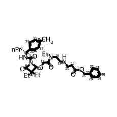 CCC[C@@H](NC(=O)N1C(=O)C(CC)(CC)[C@@H]1OCC(=O)N(CC)CCNCCC(=O)OCc1ccccc1)c1ccc(C)cc1